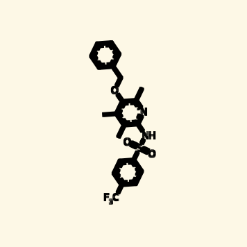 Cc1nc(NS(=O)(=O)c2ccc(C(F)(F)F)cc2)c(C)c(C)c1OCc1ccccc1